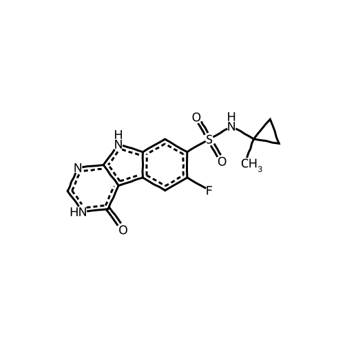 CC1(NS(=O)(=O)c2cc3[nH]c4nc[nH]c(=O)c4c3cc2F)CC1